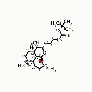 C[C@H]1[C@H](SCCOC(=O)SC(C)(C)C)O[C@@H]2O[C@]3(C)CC[C@H]4[C@H](C)CC[C@@H]1[C@@]24OO3